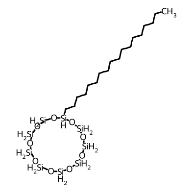 CCCCCCCCCCCCCCCCCC[SiH]1O[SiH2]O[SiH2]O[SiH2]O[SiH2]O[SiH2]O[SiH2]O[SiH2]O[SiH2]O1